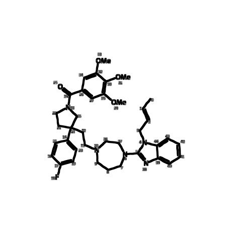 CC=CCn1c(N2CCCN(CCC3(c4ccc(F)cc4)CCN(C(=O)c4cc(OC)c(OC)c(OC)c4)C3)CC2)nc2ccccc21